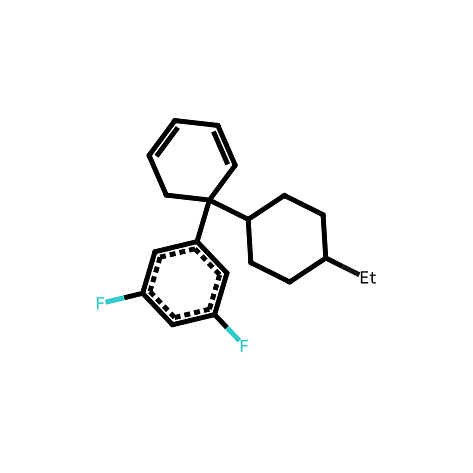 CCC1CCC(C2(c3cc(F)cc(F)c3)C=CC=CC2)CC1